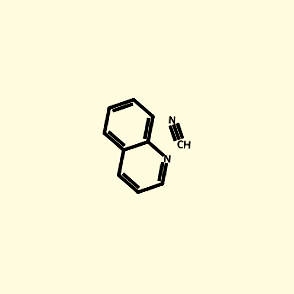 C#N.c1ccc2ncccc2c1